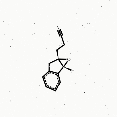 N#CCC[C@]12Cc3ccccc3[C@H]1O2